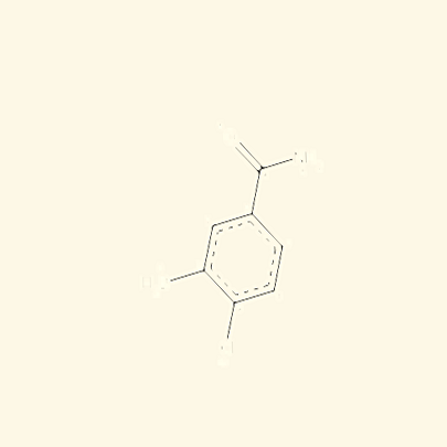 Bc1cc(C(N)=O)ccc1Cl